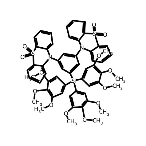 COc1cc([Si](c2cc(N3c4ccccc4S(=O)(=O)c4ccccc43)cc(N3c4ccccc4S(=O)(=O)c4ccccc43)c2)(c2cc(OC)c(OC)c(OC)c2)c2cc(OC)c(OC)c(OC)c2)cc(OC)c1OC